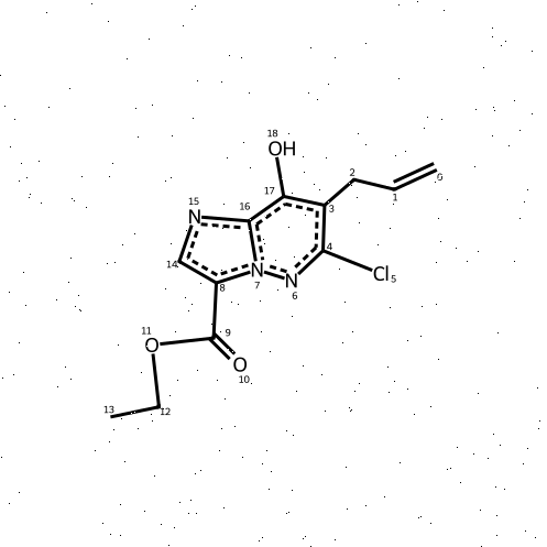 C=CCc1c(Cl)nn2c(C(=O)OCC)cnc2c1O